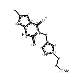 COCCn1cc(Cn2c(=O)[nH]c3sc(C)cc3c2=O)cn1